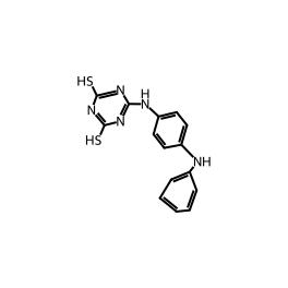 Sc1nc(S)nc(Nc2ccc(Nc3ccccc3)cc2)n1